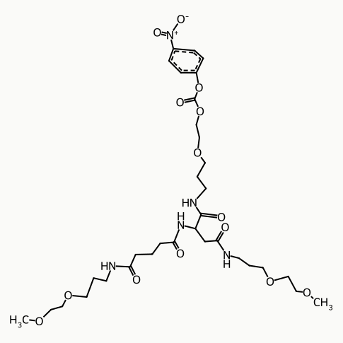 COCCOCCCNC(=O)CCCC(=O)NC(CC(=O)NCCCOCCOC)C(=O)NCCCOCCOC(=O)Oc1ccc([N+](=O)[O-])cc1